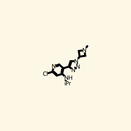 CC(C)Nc1cc(Cl)ncc1-c1cn(C2CN(C)C2)nn1